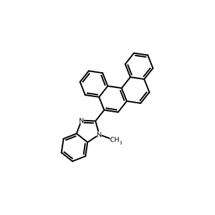 Cn1c(-c2cc3ccc4ccccc4c3c3ccccc23)nc2ccccc21